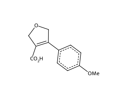 COc1ccc(C2=C(C(=O)O)COC2)cc1